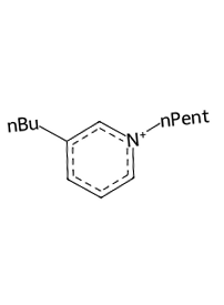 CCCCC[n+]1cccc(CCCC)c1